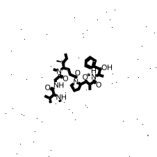 CC[C@H](C)C(CCC(=O)N1CCCC1C(OC)C(C)C(=O)NC(C)C(O)c1ccccc1)N(C)C(=O)CNC(=O)C(NC)C(C)C